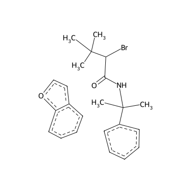 CC(C)(NC(=O)C(Br)C(C)(C)C)c1ccccc1.c1ccc2occc2c1